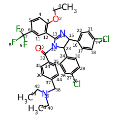 CCOc1ccc(C(F)(F)F)cc1C1=NC(c2ccc(Cl)cc2)C(c2ccc(Cl)cc2)N1C(=O)c1ccc(CN(CC)CC)cc1